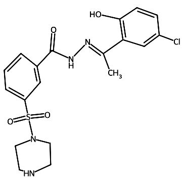 C/C(=N\NC(=O)c1cccc(S(=O)(=O)N2CCNCC2)c1)c1cc(Cl)ccc1O